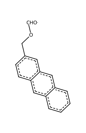 O=[C]OCc1ccc2cc3ccccc3cc2c1